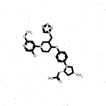 COc1cc(N2CCC(Oc3ccc(N4C[C@H](C)C[C@@H]4CC(=O)O)cc3)C(Cn3cnnn3)C2)c(Cl)cn1